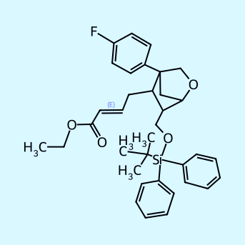 CCOC(=O)/C=C/CC1C(CO[Si](c2ccccc2)(c2ccccc2)C(C)(C)C)C2CC1(c1ccc(F)cc1)CO2